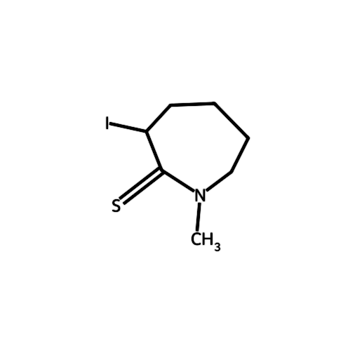 CN1CCCCC(I)C1=S